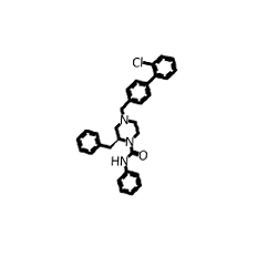 O=C(Nc1ccccc1)N1CCN(Cc2ccc(-c3ccccc3Cl)cc2)C[C@@H]1Cc1ccccc1